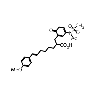 COc1ccc(/C=C/CCCCC(CC2=CC(N(C(C)=O)S(C)(=O)=O)=CCC2=O)C(=O)O)cc1